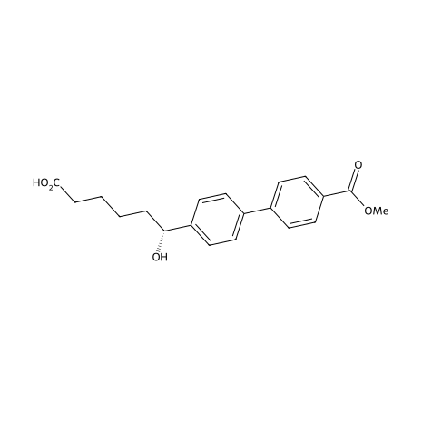 COC(=O)c1ccc(-c2ccc([C@H](O)CCCCC(=O)O)cc2)cc1